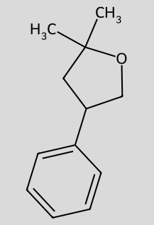 CC1(C)CC(c2ccccc2)CO1